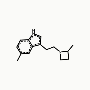 Cc1ccc2[nH]cc(CCN3CCC3C)c2c1